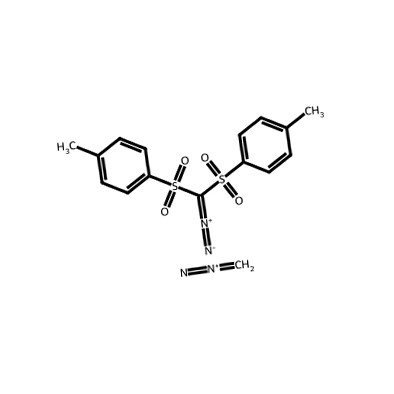 C=[N+]=[N-].Cc1ccc(S(=O)(=O)C(=[N+]=[N-])S(=O)(=O)c2ccc(C)cc2)cc1